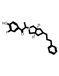 CC(C(=O)c1ccc(O)c(F)c1)N1C[C@H]2CC(CCCc3ccccc3)C[C@H]2C1